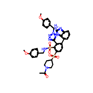 COc1ccc(CNS(=O)(=O)c2c(S(=O)(=O)C3CCN(C(C)=O)CC3)ccc(-c3cccc4nc(N)[nH]c34)c2-c2nnn(Cc3ccc(OC)cc3)n2)cc1